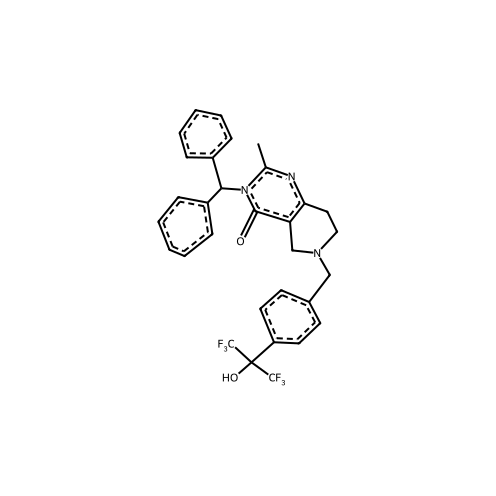 Cc1nc2c(c(=O)n1C(c1ccccc1)c1ccccc1)CN(Cc1ccc(C(O)(C(F)(F)F)C(F)(F)F)cc1)CC2